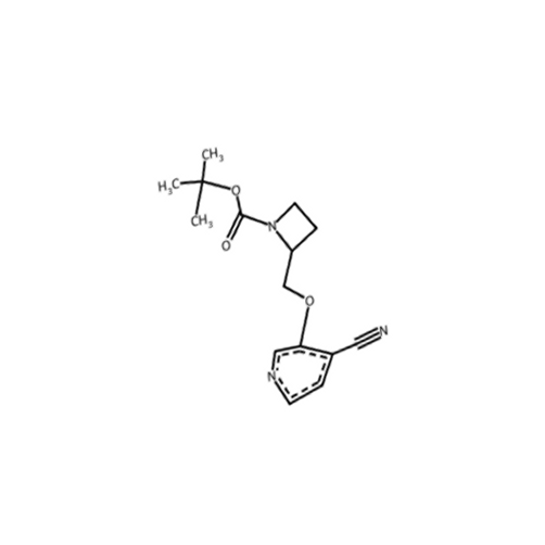 CC(C)(C)OC(=O)N1CCC1COc1cnccc1C#N